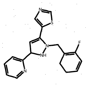 FC1=C(CN2NC(c3ccccn3)C=C2c2cncs2)CCC=C1